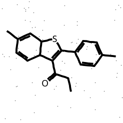 CCC(=O)C1=C(c2ccc(C)cc2)SC2C=C(C)C=CC12